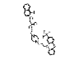 O=C(COc1ccc2ccccc2c1I)OCCN1CCN(CCCN2c3ccccc3Sc3ccc(C(F)(F)F)cc32)CC1